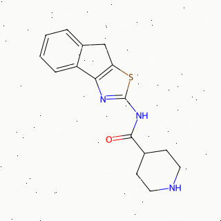 O=C(Nc1nc2c(s1)Cc1ccccc1-2)C1CCNCC1